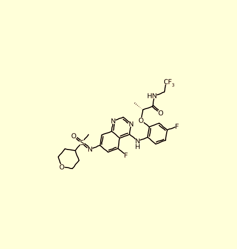 C[C@@H](Oc1cc(F)ccc1Nc1ncnc2cc(N=S(C)(=O)C3CCOCC3)cc(F)c12)C(=O)NCC(F)(F)F